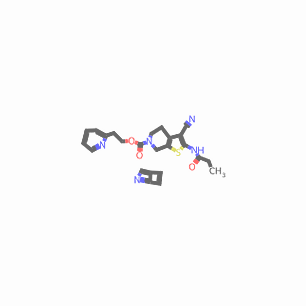 CCC(=O)Nc1sc2c(c1C#N)CCN(C(=O)OCCc1ccccn1)C2.c1cc2ncc1-2